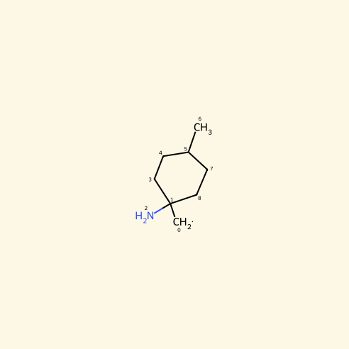 [CH2]C1(N)CCC(C)CC1